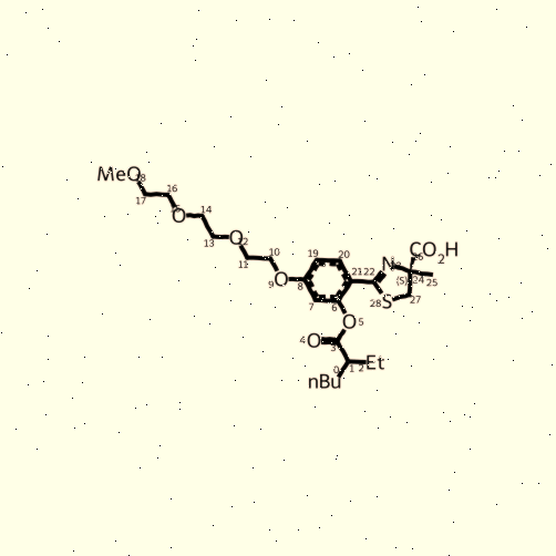 CCCCC(CC)C(=O)Oc1cc(OCCOCCOCCOC)ccc1C1=N[C@@](C)(C(=O)O)CS1